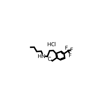 CCCCNC1CCc2ccc(C(F)(F)F)cc2CC1.Cl